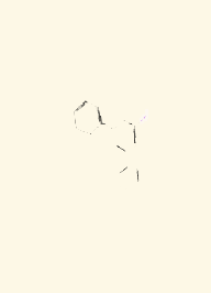 IC1=CC(C2=CCCC=C2)=CC(C2=CC=CCC2)C1